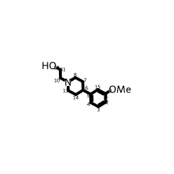 COc1cccc(C2CCN(CCO)CC2)c1